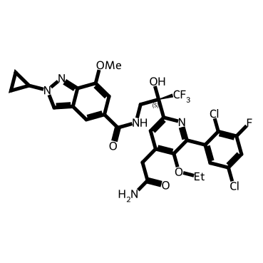 CCOc1c(CC(N)=O)cc([C@@](O)(CNC(=O)c2cc(OC)c3nn(C4CC4)cc3c2)C(F)(F)F)nc1-c1cc(Cl)cc(F)c1Cl